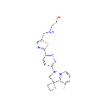 OCCNCc1cnc(-c2ccc(NCC3(c4ncccc4F)CCC3)nn2)s1